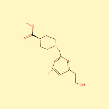 COC(=O)[C@H]1CC[C@H](Cc2cc(F)cc(CCO)c2)CC1